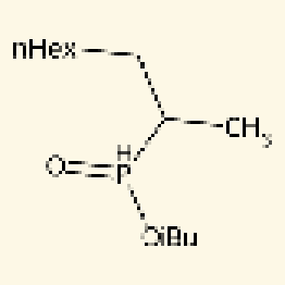 CCCCCCCC(C)[PH](=O)OCC(C)C